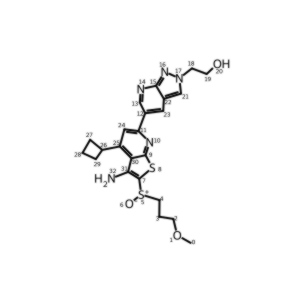 COCCC[S+]([O-])c1sc2nc(-c3cnc4nn(CCO)cc4c3)cc(C3CCC3)c2c1N